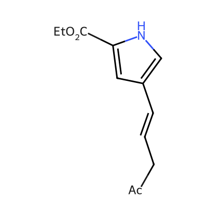 CCOC(=O)c1cc(C=CCC(C)=O)c[nH]1